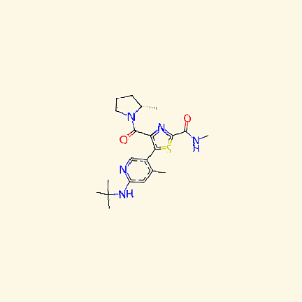 CNC(=O)c1nc(C(=O)N2CCC[C@@H]2C)c(-c2cnc(NC(C)(C)C)cc2C)s1